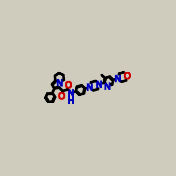 Cc1cc(N2CCOCC2)cnc1N1CCN(c2ccc(NC(=O)C(=O)c3c(-c4ccccc4)cc4n3CCCC4)cc2)CC1